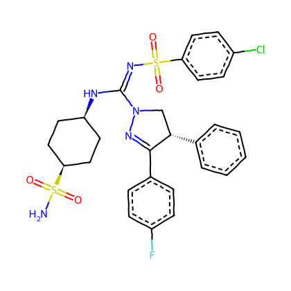 NS(=O)(=O)[C@H]1CC[C@@H](N/C(=N/S(=O)(=O)c2ccc(Cl)cc2)N2C[C@H](c3ccccc3)C(c3ccc(F)cc3)=N2)CC1